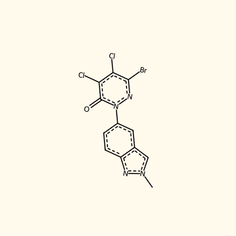 Cn1cc2cc(-n3nc(Br)c(Cl)c(Cl)c3=O)ccc2n1